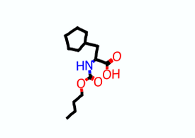 CCCCOC(=O)NC(CC1CCCCC1)C(=O)O